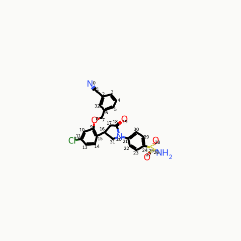 N#Cc1cccc(COc2cc(Cl)ccc2C2CC(=O)N(c3ccc(S(N)(=O)=O)cc3)C2)c1